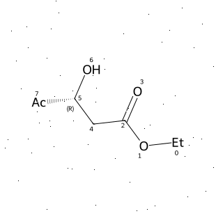 CCOC(=O)C[C@@H](O)C(C)=O